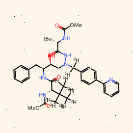 [2H]C([2H])(c1ccc(-c2ccccn2)cc1)N(C[C@H](O)[C@H](Cc1ccccc1)NC(=O)[C@@H](NC(=O)OC)C(C([2H])([2H])[2H])(C([2H])([2H])[2H])C([2H])([2H])[2H])NC(=O)[C@@H](NC(=O)OC)C(C)(C)C